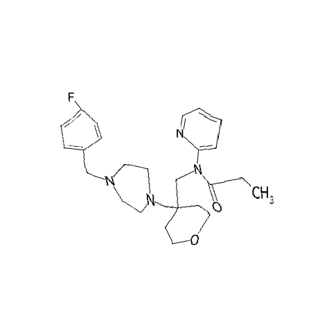 CCC(=O)N(CC1(N2CCN(Cc3ccc(F)cc3)CC2)CCOCC1)c1ccccn1